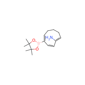 CC1(C)OB(C2=C/CCC/C=C(N)/C=C\2)OC1(C)C